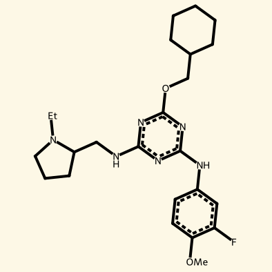 CCN1CCCC1CNc1nc(Nc2ccc(OC)c(F)c2)nc(OCC2CCCCC2)n1